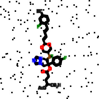 CC(=O)OC(CCC(=O)O[C@@](Cn1cncn1)(c1ccc(F)cc1F)[C@@H](C)S[C@H]1CO[C@H](/C=C/C=C/c2ccc(C#N)cc2F)OC1)C(=O)O